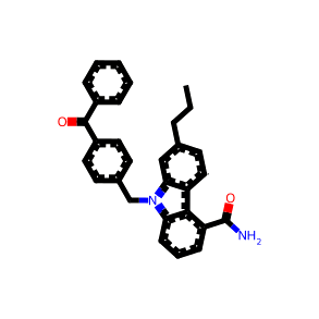 CCCc1c[c]c2c3c(C(N)=O)cccc3n(Cc3ccc(C(=O)c4ccccc4)cc3)c2c1